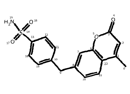 Cc1cc(=O)oc2cc(Cc3ccc(S(N)(=O)=O)cc3)ccc12